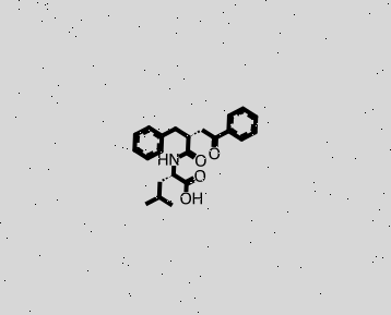 CC(C)C[C@H](NC(=O)[C@@H](CC(=O)c1ccccc1)Cc1ccccc1)C(=O)O